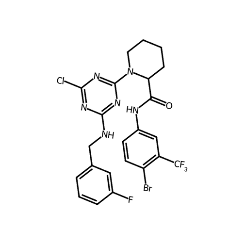 O=C(Nc1ccc(Br)c(C(F)(F)F)c1)C1CCCCN1c1nc(Cl)nc(NCc2cccc(F)c2)n1